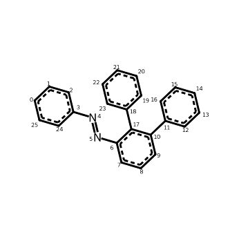 c1ccc(N=Nc2cccc(-c3ccccc3)c2-c2ccccc2)cc1